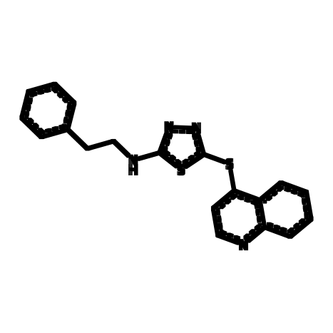 c1ccc(CCNc2nnc(Sc3ccnc4ccccc34)s2)cc1